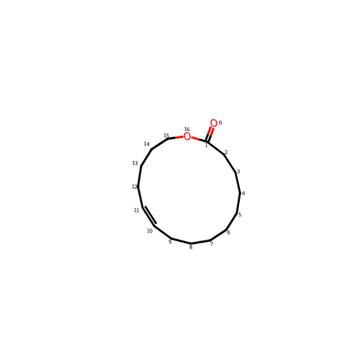 O=C1CCCCCCCCC=CCCCCO1